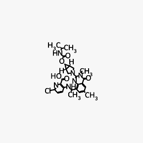 Cc1cc(C(C)Nc2ccc(Cl)nc2C(=O)O)c2nc(N3C[C@@H]4C(OC(=O)NC(C)C)[C@@H]4C3)n(C)c(=O)c2c1